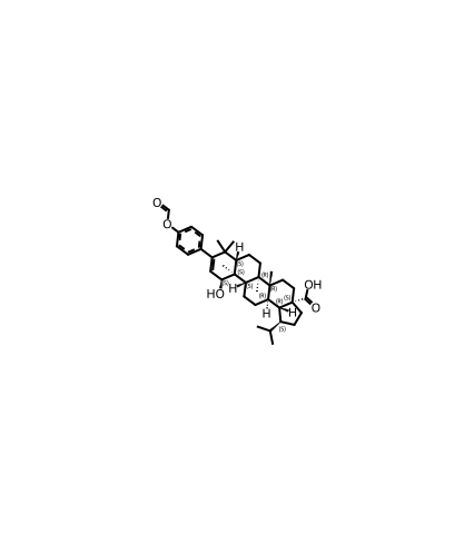 CC(C)[C@@H]1CC[C@]2(C(=O)O)CC[C@]3(C)[C@H](CC[C@@H]4[C@@]5(C)[C@@H](O)C=C(c6ccc(OC=O)cc6)C(C)(C)[C@@H]5CC[C@]43C)[C@@H]12